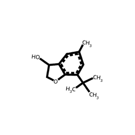 Cc1cc2c(c(C(C)(C)C)c1)OCC2O